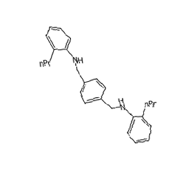 CCCc1ccccc1NCc1ccc(CNc2ccccc2CCC)cc1